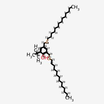 CCCCCCCCCCCCCCSCc1cc(CSCCCCCCCCCCCCCC)c(O)c(C(C)(C)C)c1